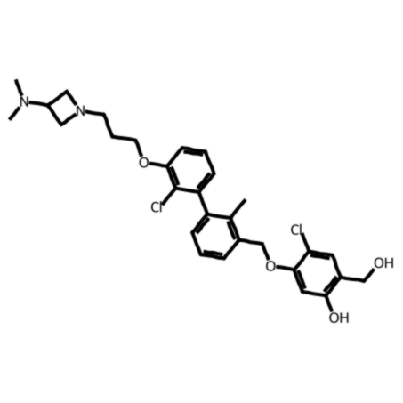 Cc1c(COc2cc(O)c(CO)cc2Cl)cccc1-c1cccc(OCCCN2CC(N(C)C)C2)c1Cl